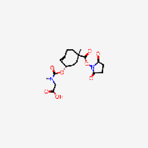 CN(CC(=O)O)C(=O)O[C@@H]1/C=C/CC[C@](C)(C(=O)ON2C(=O)CCC2=O)CC1